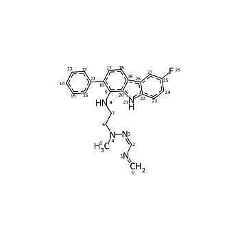 C=N/C=N\N(C)CCNc1c(-c2ccccc2)ccc2c1[nH]c1ccc(F)cc12